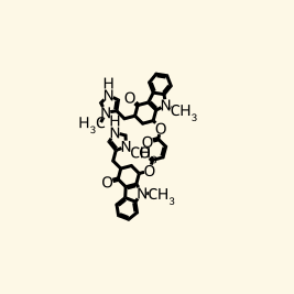 CN1CNC=C1CC1CC(OC(=O)/C=C\C(=O)OC2CC(CC3=CNCN3C)C(=O)c3c2n(C)c2ccccc32)c2c(c3ccccc3n2C)C1=O